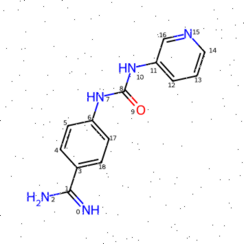 N=C(N)c1ccc(NC(=O)Nc2cccnc2)cc1